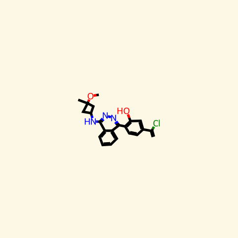 C=C(Cl)c1ccc(-c2nnc(NC3CC(C)(OC)C3)c3ccccc23)c(O)c1